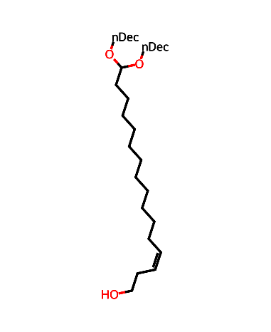 CCCCCCCCCCOC(CCCCCCCCCCC/C=C\CCO)OCCCCCCCCCC